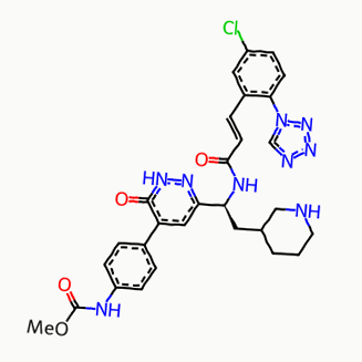 COC(=O)Nc1ccc(-c2cc([C@H](CC3CCCNC3)NC(=O)C=Cc3cc(Cl)ccc3-n3cnnn3)n[nH]c2=O)cc1